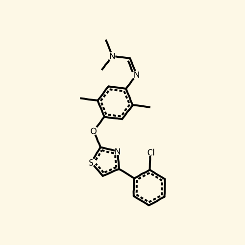 Cc1cc(Oc2nc(-c3ccccc3Cl)cs2)c(C)cc1/N=C\N(C)C